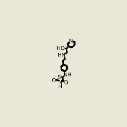 O=C1NC(=O)C(Nc2ccc(CCNCC(O)c3cccnc3)cc2)S1